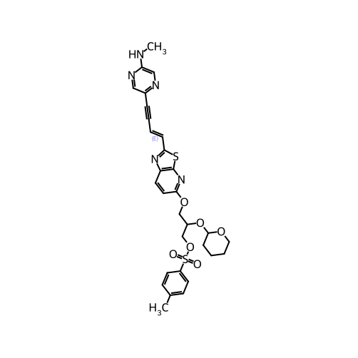 CNc1cnc(C#C/C=C/c2nc3ccc(OCC(COS(=O)(=O)c4ccc(C)cc4)OC4CCCCO4)nc3s2)cn1